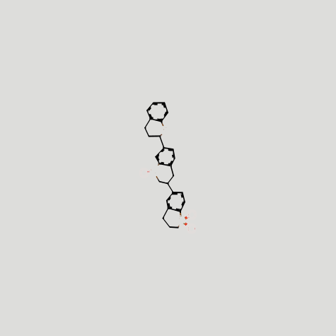 O=S1(=O)CCCc2cc(C3Cc4ccc(C5CCc6ccccc6S5)cc4[S+]([O-])C3)ccc21